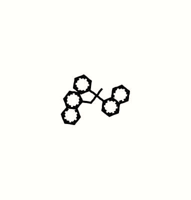 CC(Cc1cccc2ccccc12)(c1ccccc1)c1cccc2ccccc12